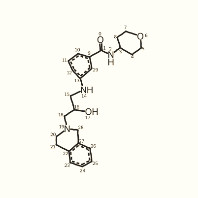 O=C(NC1CCOCC1)c1cccc(NCC(O)CN2CCc3ccccc3C2)c1